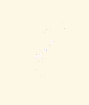 CCC1(COc2ccc3c(c2)N(C)C(=O)[C@@H](NC(=O)n2cc(Cc4cccc(F)c4)cn2)CO3)COC1